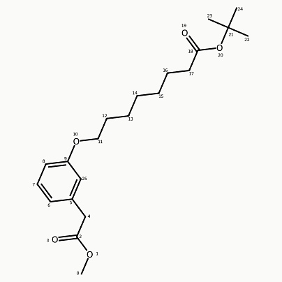 COC(=O)Cc1cccc(OCCCCCCCC(=O)OC(C)(C)C)c1